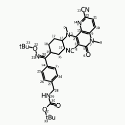 CN(c1c(C#N)c(=O)n(C)c2ccc(C#N)nc12)C1CCC(/C(=N\OC(C)(C)C)c2ccc(CNC(=O)OC(C)(C)C)cc2)CC1